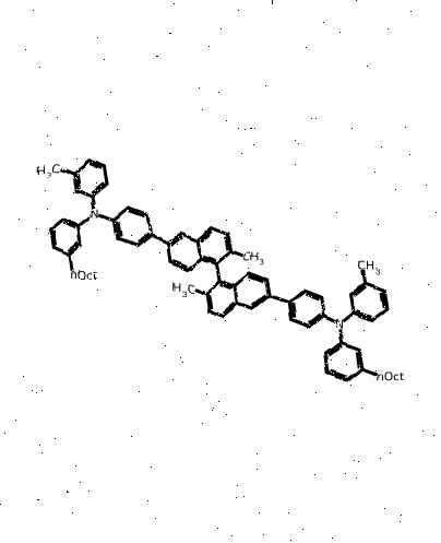 CCCCCCCCc1cccc(N(c2ccc(-c3ccc4c(-c5c(C)ccc6cc(-c7ccc(N(c8cccc(C)c8)c8cccc(CCCCCCCC)c8)cc7)ccc56)c(C)ccc4c3)cc2)c2cccc(C)c2)c1